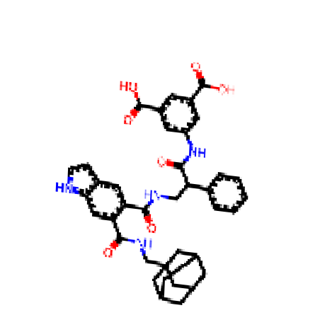 O=C(O)c1cc(NC(=O)C(CNC(=O)c2cc3cc[nH]c3cc2C(=O)NCC23CC4CC(CC(C4)C2)C3)c2ccccc2)cc(C(=O)O)c1